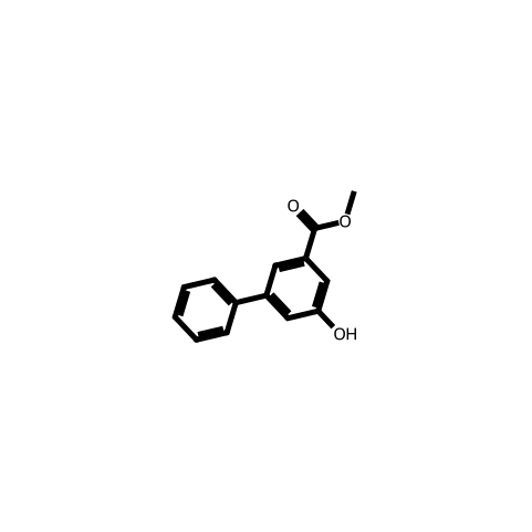 COC(=O)c1cc(O)cc(-c2ccccc2)c1